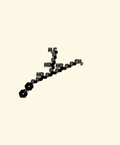 C=COCOCC(O)COCC(COCC(O)COCOc1ccc(-[n+]2ccccc2)cc1)OCC(O)COCOC=C